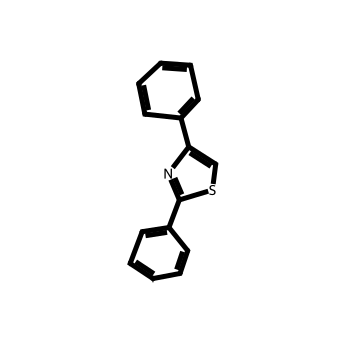 [c]1ccc(-c2nc(-c3ccccc3)cs2)cc1